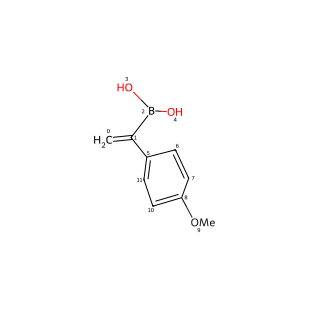 C=C(B(O)O)c1ccc(OC)cc1